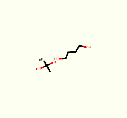 CCCC(C)(O)O.OCCCCO